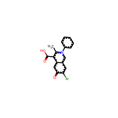 Cc1c(C(=O)O)c2cc(=O)c(Br)cc-2cn1-c1ccccc1